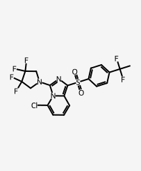 CC(F)(F)c1ccc(S(=O)(=O)c2nc(N3CC(F)(F)C(F)(F)C3)n3c(Cl)cccc23)cc1